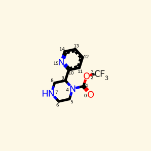 O=C(OC(F)(F)F)N1CCNCC1c1ccccn1